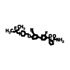 CCC(F)(CC)CN1CCC(COc2ccc(-c3ccc(C(=O)N4CCC[C@H]4C(N)=O)c(F)c3)cc2C#N)CC1